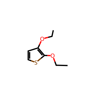 CCOc1ccsc1OCC